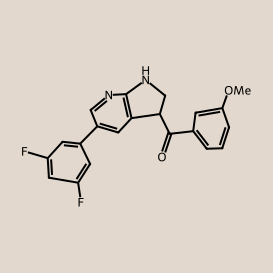 COc1cccc(C(=O)C2CNc3ncc(-c4cc(F)cc(F)c4)cc32)c1